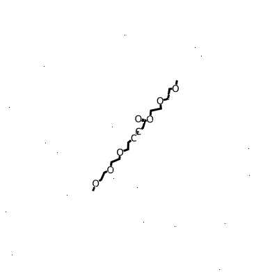 COCCOCCOCCCCCC(=O)OCCOCCOC